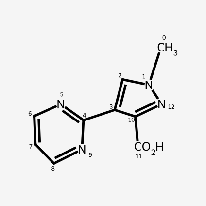 Cn1cc(-c2ncccn2)c(C(=O)O)n1